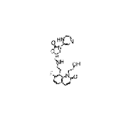 O=C1O[C@@H](CNCCc2c(F)ccc3ccc(=O)n(CCO)c23)CN1C1=CN=CCN1